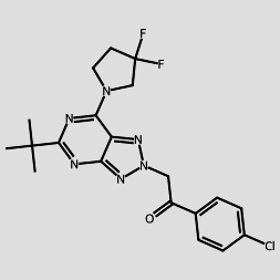 CC(C)(C)c1nc(N2CCC(F)(F)C2)c2nn(CC(=O)c3ccc(Cl)cc3)nc2n1